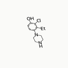 CCc1c(N2CCNCC2)ccc(O)c1Cl